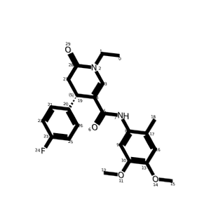 CCN1C=C(C(=O)Nc2cc(OC)c(OC)cc2C)[C@H](c2ccc(F)cc2)CC1=O